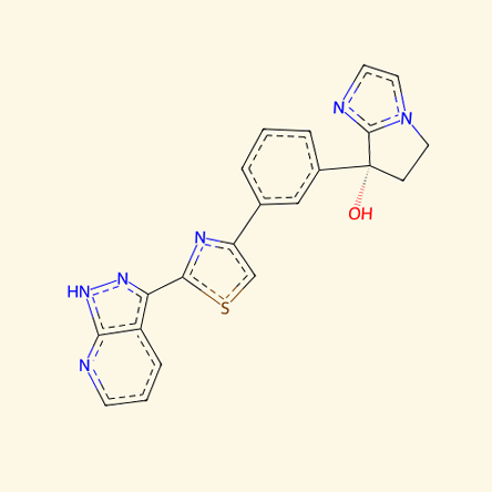 O[C@@]1(c2cccc(-c3csc(-c4n[nH]c5ncccc45)n3)c2)CCn2ccnc21